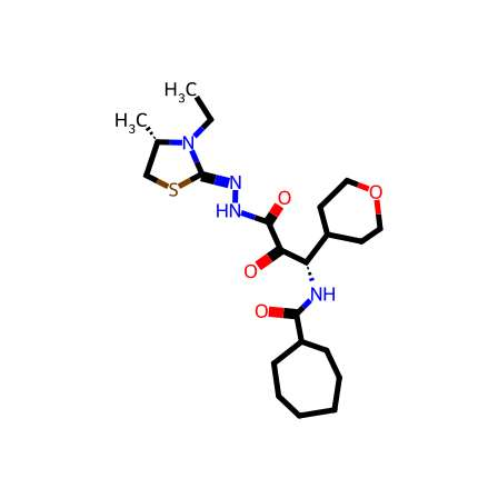 CCN1/C(=N/NC(=O)C(=O)[C@@H](NC(=O)C2CCCCCC2)C2CCOCC2)SC[C@@H]1C